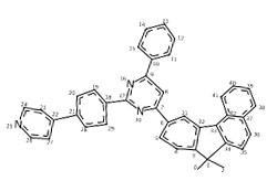 CC1(C)c2ccc(-c3cc(-c4ccccc4)nc(-c4ccc(-c5ccncc5)cc4)n3)cc2-c2c1ccc1ccccc21